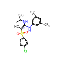 CC(N/C(Nc1cc(C(F)(F)F)cc(C(F)(F)F)c1)=C(\C#N)S(=O)(=O)c1ccc(Cl)cc1)C(C)(C)C